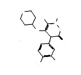 CN1NC(=O)C(c2ccc(C#N)c(F)c2)C(OC2CCNCC2)=C1C(=O)O.Cl